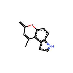 C=C1C=C(C)c2c(ccc3[nH]ccc23)O1